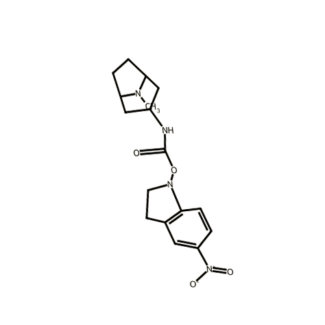 CN1C2CCC1CC(NC(=O)ON1CCc3cc([N+](=O)[O-])ccc31)C2